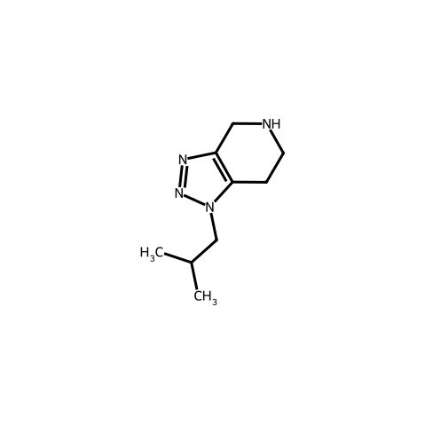 CC(C)Cn1nnc2c1CCNC2